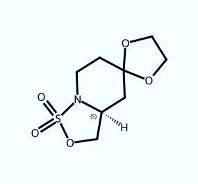 O=S1(=O)OC[C@@H]2CC3(CCN21)OCCO3